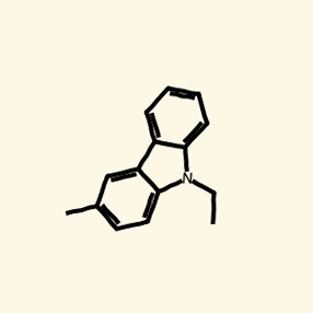 CCn1c2ccccc2c2cc(C)ccc21